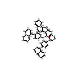 c1ccc(-c2ccc(-c3cccc4ccccc34)cc2N(c2ccc(-c3cccc4ccccc34)cc2)c2cccc3oc4c5ccccc5ccc4c23)cc1